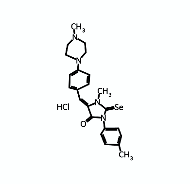 Cc1ccc(N2C(=O)C(=Cc3ccc(N4CCN(C)CC4)cc3)N(C)C2=[Se])cc1.Cl